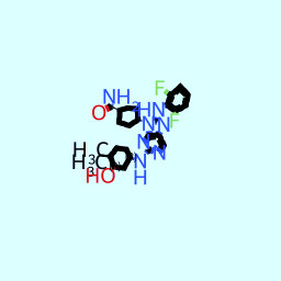 CC1(C)CC[C@@H](Nc2ncc3nc(Nc4c(F)cccc4F)n([C@H]4CC[C@@H](C(N)=O)CC4)c3n2)C[C@H]1O